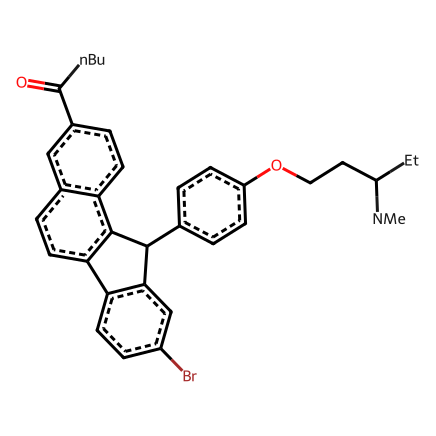 CCCCC(=O)c1ccc2c3c(ccc2c1)-c1ccc(Br)cc1C3c1ccc(OCCC(CC)NC)cc1